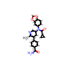 Cc1ncc(N(C(=O)C2CC2)c2ccc3c(c2)OCO3)cc1-c1ccc(C(N)=O)cc1